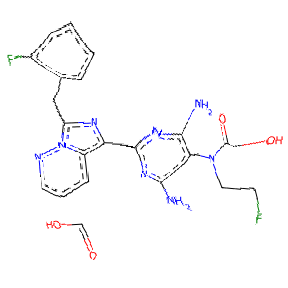 Nc1nc(-c2nc(Cc3ccccc3F)n3ncccc23)nc(N)c1N(CCF)C(=O)O.O=CO